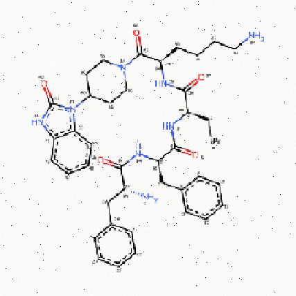 CC(C)C[C@@H](NC(=O)[C@@H](Cc1ccccc1)NC(=O)[C@H](N)Cc1ccccc1)C(=O)N[C@H](CCCCN)C(=O)N1CCC(n2c(=O)[nH]c3ccccc32)CC1